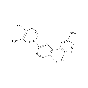 COc1ccc(Br)c(-c2cc(-c3ccc(O)c(C)c3)nc[n+]2[O-])c1